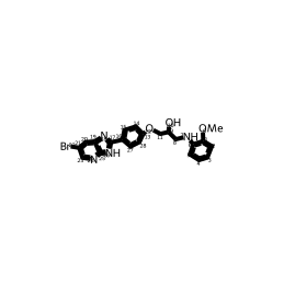 COc1ccccc1NCC(O)COc1ccc(-c2nc3cc(Br)cnc3[nH]2)cc1